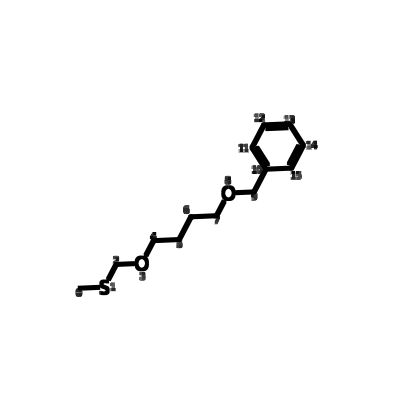 CSCOCCCCOCc1ccccc1